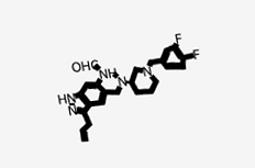 C=CCc1n[nH]c2cc(NC=O)c(CN(C)[C@@H]3CCCN(Cc4ccc(F)c(F)c4)C3)cc12